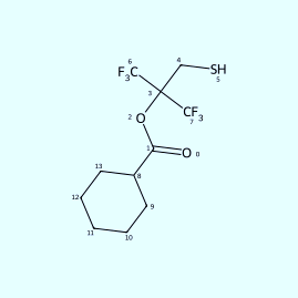 O=C(OC(CS)(C(F)(F)F)C(F)(F)F)C1CCCCC1